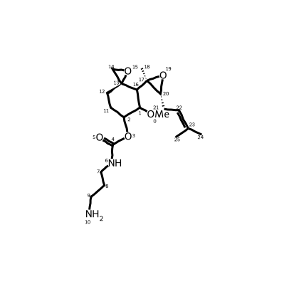 COC1C(OC(=O)NCCCN)CC[C@]2(CO2)C1[C@@]1(C)O[C@@H]1CC=C(C)C